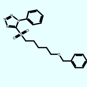 O=S(=O)(CCCCCOCc1ccccc1)c1nnnn1-c1ccccc1